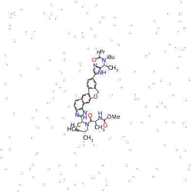 C#C[C@@H](C)CN(C(=O)[C@H](C)NC(=O)OC)[C@@H](C)c1nc2ccc3cc4c(cc3c2[nH]1)OCc1cc(-c2cnc([C@H](C)N(C(=O)CCC)[C@@H](C)CC)[nH]2)ccc1-4